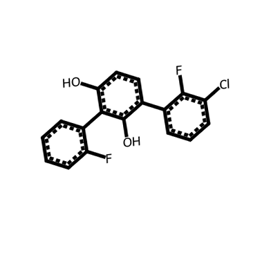 Oc1ccc(-c2cccc(Cl)c2F)c(O)c1-c1ccccc1F